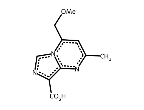 COCc1cc(C)nc2c(C(=O)O)ncn12